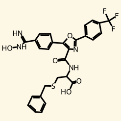 N=C(NO)c1ccc(-c2oc(-c3ccc(C(F)(F)F)cc3)nc2C(=O)NC(CSCc2ccccc2)C(=O)O)cc1